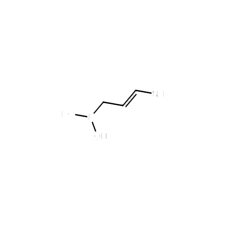 NC=CCP(O)O